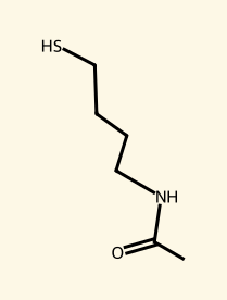 CC(=O)NCCCCS